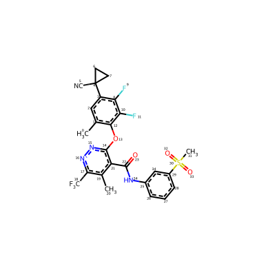 Cc1cc(C2(C#N)CC2)c(F)c(F)c1Oc1nnc(C(F)(F)F)c(C)c1C(=O)Nc1cccc(S(C)(=O)=O)c1